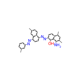 Cc1cccc(/N=N/c2ccc(/N=N/c3ccc4c(C)cc(C)c(N)c4c3O)c3ccc(C)cc23)c1